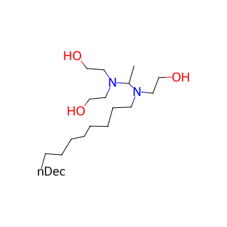 CCCCCCCCCCCCCCCCCCN(CCO)C(C)N(CCO)CCO